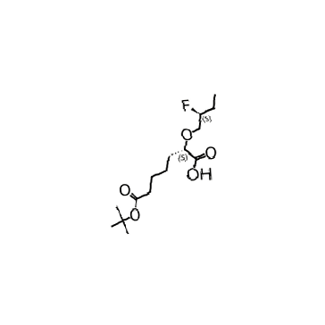 CC[C@H](F)CO[C@@H](CCCCC(=O)OC(C)(C)C)C(=O)O